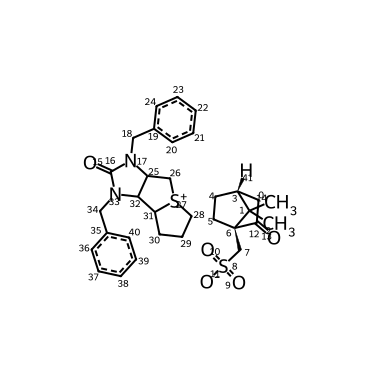 CC1(C)[C@@H]2CC[C@@]1(CS(=O)(=O)[O-])C(=O)C2.O=C1N(Cc2ccccc2)C2C[S+]3CCCC3C2N1Cc1ccccc1